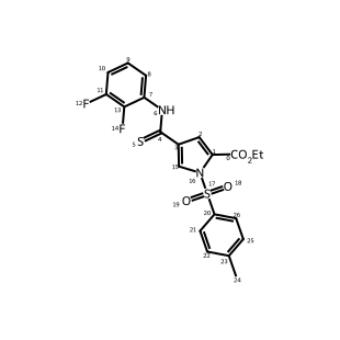 CCOC(=O)c1cc(C(=S)Nc2cccc(F)c2F)cn1S(=O)(=O)c1ccc(C)cc1